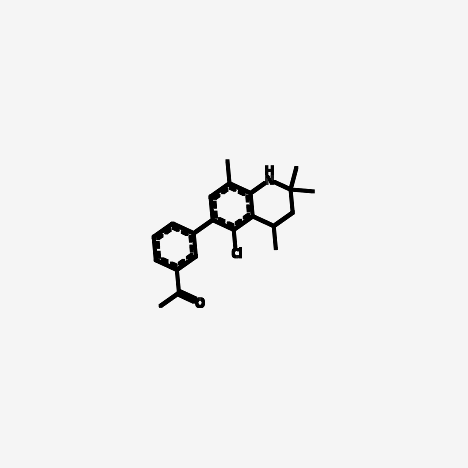 CC(=O)c1cccc(-c2cc(C)c3c(c2Cl)C(C)CC(C)(C)N3)c1